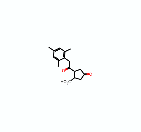 Cc1cc(C)c(CC(=O)C2CC(=O)CC2C(=O)O)c(C)c1